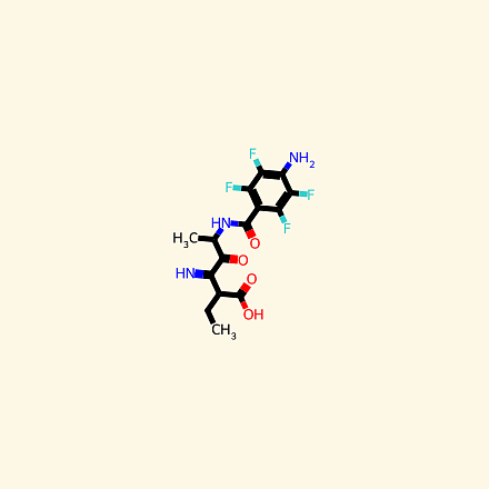 CCC(C(=N)C(=O)C(C)NC(=O)c1c(F)c(F)c(N)c(F)c1F)C(=O)O